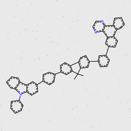 CC1(C)c2cc(-c3ccc(-c4ccc5c(c4)c4ccccc4n5-c4ccccc4)cc3)ccc2-c2ccc(-c3cccc(-c4ccc5c6ccccc6c6nccnc6c5c4)c3)cc21